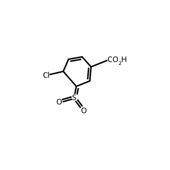 O=C(O)C1=CC(=S(=O)=O)C(Cl)C=C1